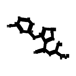 O=C(O)/C(O)=C/C(=O)c1c[nH]cc1Cc1cccc(F)c1